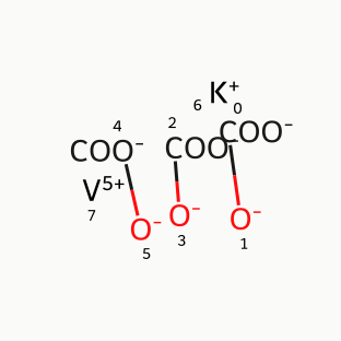 O=C([O-])[O-].O=C([O-])[O-].O=C([O-])[O-].[K+].[V+5]